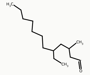 CCCCCCCC(CC)CC(C)C[C]=O